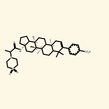 CC(C(=O)N[C@]12CCCC1[C@H]1CCC3[C@@]4(C)CC=C(c5ccc(C(=O)O)cc5)C(C)(C)C4CC[C@@]3(C)[C@]1(C)CC2)N1CCS(=O)(=O)CC1